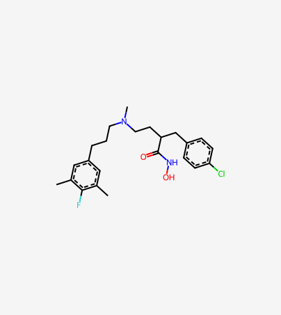 Cc1cc(CCCN(C)CCC(Cc2ccc(Cl)cc2)C(=O)NO)cc(C)c1F